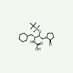 CC(C)(C)[Si](C)(C)O[C@@H](CN1CCCC1=O)[C@H](CC1CCCCC1)NC(=O)O